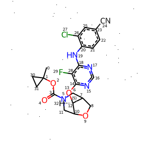 CC1(OC(=O)N2CC3COC(C2)[C@H]3Oc2ncnc(Nc3ccc(C#N)cc3Cl)c2F)CC1